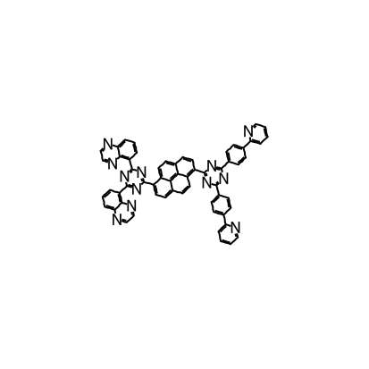 c1ccc(-c2ccc(-c3nc(-c4ccc(-c5ccccn5)cc4)nc(-c4ccc5ccc6c(-c7nc(-c8cccc9nccnc89)nc(-c8cccc9nccnc89)n7)ccc7ccc4c5c76)n3)cc2)nc1